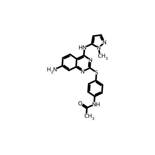 CC(=O)Nc1ccc(Sc2nc(Nc3ccnn3C)c3ccc(N)cc3n2)cc1